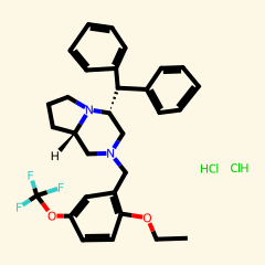 CCOc1ccc(OC(F)(F)F)cc1CN1C[C@@H]2CCCN2[C@H](C(c2ccccc2)c2ccccc2)C1.Cl.Cl